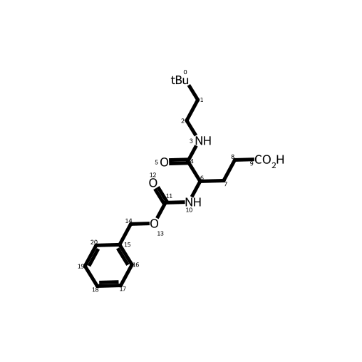 CC(C)(C)CCNC(=O)C(CCC(=O)O)NC(=O)OCc1ccccc1